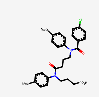 COc1ccc(N(CCCC(=O)O)C(=O)CCCN(C(=O)c2ccc(Cl)cc2)c2ccc(OC)cc2)cc1